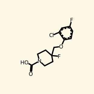 O=C(O)N1CCC(F)(COc2ccc(F)cc2Cl)CC1